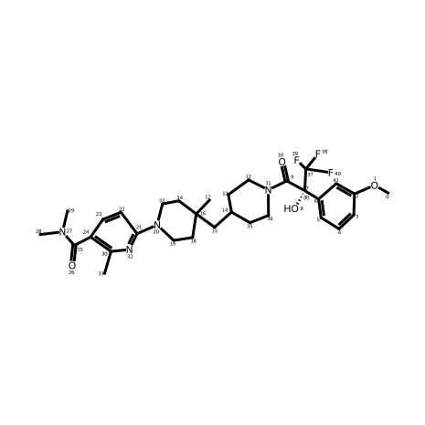 COc1cccc([C@@](O)(C(=O)N2CCC(CC3(C)CCN(c4ccc(C(=O)N(C)C)c(C)n4)CC3)CC2)C(F)(F)F)c1